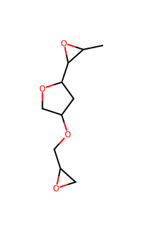 CC1OC1C1CC(OCC2CO2)CO1